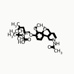 COc1c(OC[C@H](CC(C)C)N(C(=O)O)C(C)(C)C)ccc2c1OCC1=C2CN(NC(C)=O)C=C1